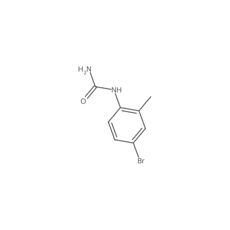 Cc1cc(Br)ccc1NC(N)=O